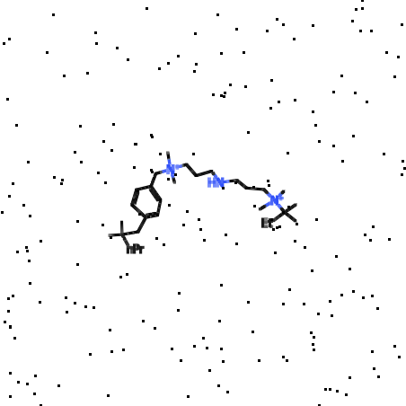 CCCC(C)(C)Cc1ccc(C[N+](C)(C)CCCNCCC[N+](C)(C)C(C)(C)CC)cc1